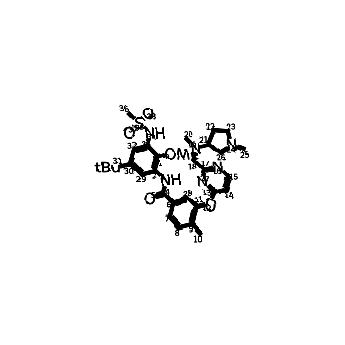 COc1c(NC(=O)c2ccc(C)c(Oc3ccnc(CN(C)C4CCN(C)C4)n3)c2)cc(C(C)(C)C)cc1NS(C)(=O)=O